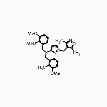 COc1cccc(CN(Cc2cccc(OC)c2OC)c2ccn(Cc3c(C)noc3C)n2)c1C